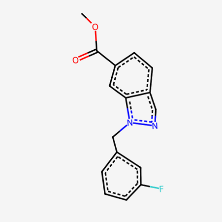 COC(=O)c1ccc2cnn(Cc3cccc(F)c3)c2c1